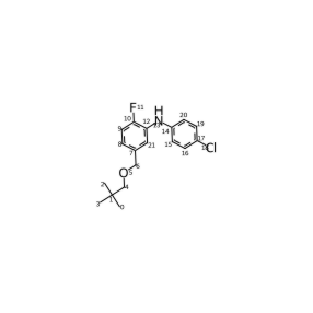 CC(C)(C)COCc1ccc(F)c(Nc2ccc(Cl)cc2)c1